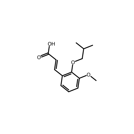 COc1cccc(C=CC(=O)O)c1OCC(C)C